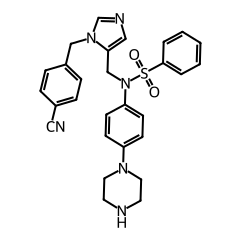 N#Cc1ccc(Cn2cncc2CN(c2ccc(N3CCNCC3)cc2)S(=O)(=O)c2ccccc2)cc1